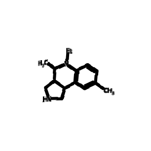 CCN1c2ccc(C)cc2C2CNCC2C1C